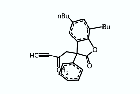 C#CC(=C)CC1(c2ccccc2)C(=O)Oc2c(C(C)CC)cc(CCCC)cc21